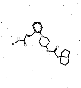 O=C(/C=C/c1ccccc1N1CCC(NC(=O)CC23CCCN2CCC3)CC1)NO